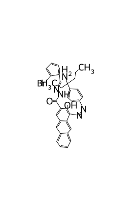 CCCC(N)(CC)c1ccc(/N=N\c2c(O)c(C(=O)NN=Cc3ccccc3Br)cc3cc4ccccc4cc23)cc1